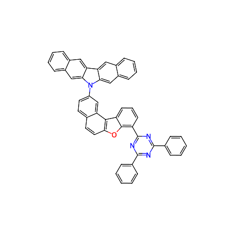 c1ccc(-c2nc(-c3ccccc3)nc(-c3cccc4c3oc3ccc5ccc(-n6c7cc8ccccc8cc7c7cc8ccccc8cc76)cc5c34)n2)cc1